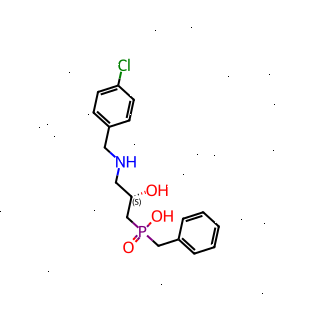 O=P(O)(Cc1ccccc1)C[C@@H](O)CNCc1ccc(Cl)cc1